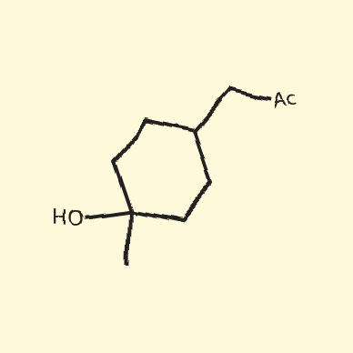 CC(=O)CC1CCC(C)(O)CC1